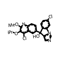 COc1nc2ccc(C3(O)c4ccc(Cl)cc4-n4cncc43)cc2c(Cl)c1OC(C)C